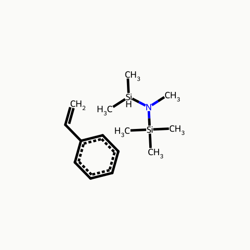 C=Cc1ccccc1.CN([SiH](C)C)[Si](C)(C)C